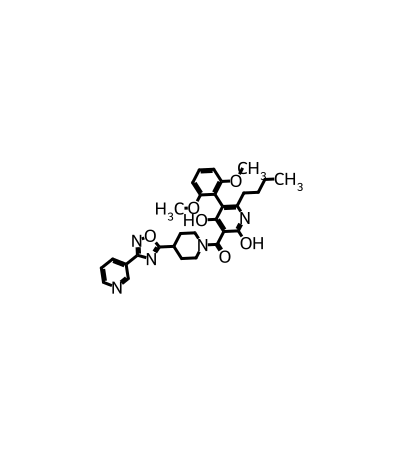 CCCCc1nc(O)c(C(=O)N2CCC(c3nc(-c4cccnc4)no3)CC2)c(O)c1-c1c(OC)cccc1OC